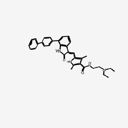 CCN(CC)CCNC(=O)c1c(C)[nH]c(/C=C2\C(=O)Nc3c2cccc3-c2ccc(-c3ccccc3)cc2)c1C